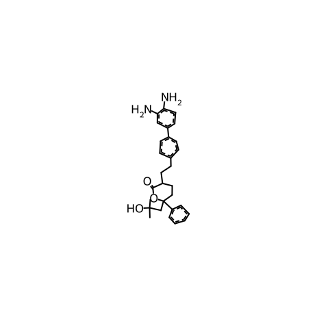 CC(C)(O)CC1(c2ccccc2)CCC(CCc2ccc(-c3ccc(N)c(N)c3)cc2)C(=O)O1